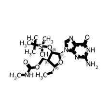 CC[C@H]1O[C@@H](n2cnc3c(=O)[nH]c(N)nc32)[C@H](O[Si](C)(C)C(C)(C)C)[C@@H]1COC(=O)NC